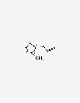 B.C=CCC1CCCO1